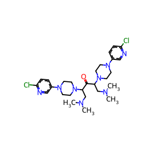 CN(C)CC(C(=O)C(CN(C)C)N1CCN(c2ccc(Cl)nc2)CC1)N1CCN(c2ccc(Cl)nc2)CC1